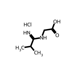 CC(C)C(=N)NCC(=O)O.Cl